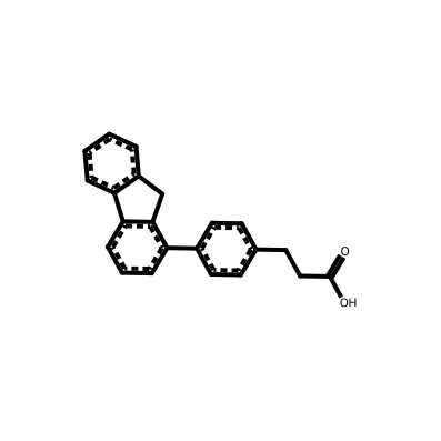 O=C(O)CCc1ccc(-c2cccc3c2Cc2ccccc2-3)cc1